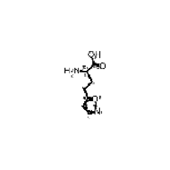 N[C@H](CCc1ccno1)C(=O)O